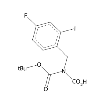 CC(C)(C)OC(=O)N(Cc1ccc(F)cc1I)C(=O)O